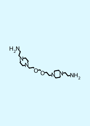 NCCN1CCN(CCOCOCCN2CCN(CCN)CC2)CC1